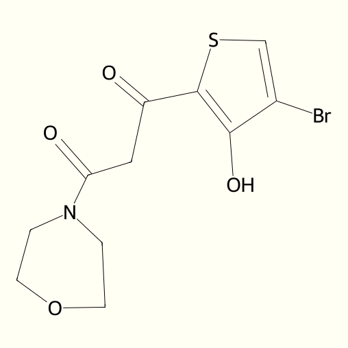 O=C(CC(=O)N1CCOCC1)c1scc(Br)c1O